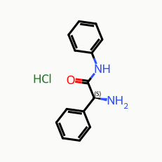 Cl.N[C@H](C(=O)Nc1ccccc1)c1ccccc1